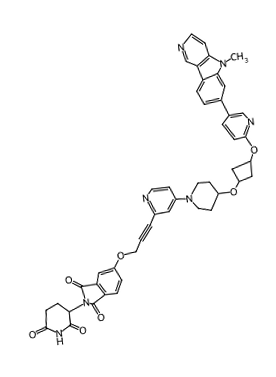 Cn1c2ccncc2c2ccc(-c3ccc(OC4CC(OC5CCN(c6ccnc(C#CCOc7ccc8c(c7)C(=O)N(C7CCC(=O)NC7=O)C8=O)c6)CC5)C4)nc3)cc21